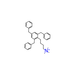 C[N+](C)(C)CCCCc1c(Cc2ccccc2)cc(Cc2ccccc2)cc1Cc1ccccc1